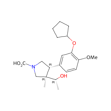 COc1ccc([C@H]2CN(C(=O)O)C[C@]2(C)[C@@H](C)O)cc1OC1CCCC1